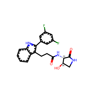 O=C(CCc1c(-c2cc(F)cc(F)c2)[nH]c2ccccc12)N[C@@H]1C(=O)NC[C@H]1O